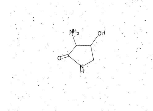 NC1C(=O)NCC1O